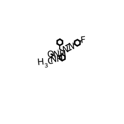 CNC(=O)NC[C@H](c1ccccc1)[C@@H](c1ccccc1)N1CCN(c2ccc(F)cc2)CC1